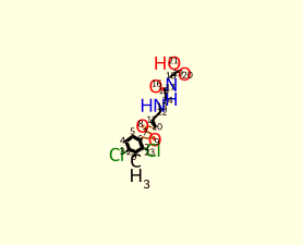 Cc1c(Cl)ccc(S(=O)(=O)C=CCNCC(=O)NCC(=O)O)c1Cl